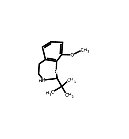 COc1cccc2c1CC(C(C)(C)C)NCC2